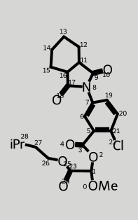 COC(OC(=O)c1cc(N2C(=O)C3CCCCC3C2=O)ccc1Cl)C(=O)OCCC(C)C